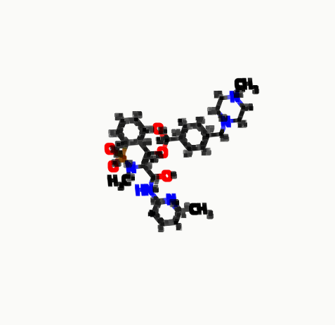 Cc1cccc(NC(=O)C2=C(OC(=O)c3ccc(CN4CCN(C)CC4)cc3)c3ccccc3S(=O)(=O)N2C)n1